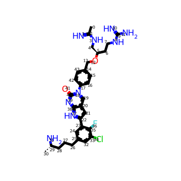 CC(=N)NC[C@@H](CCNC(=N)N)OCc1ccc(-n2cc3cc(-c4cc(CCC[C@H](C)N)cc(Cl)c4F)[nH]c3nc2=O)cc1